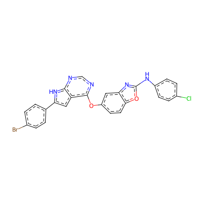 Clc1ccc(Nc2nc3cc(Oc4ncnc5[nH]c(-c6ccc(Br)cc6)cc45)ccc3o2)cc1